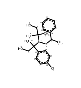 CC(ON(C(C)(C)CO)C(C)(CO)c1ccc(Cl)cc1)c1ccccc1